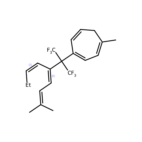 CC/C=C\C(=C/C=C(C)C)C(C1=CC=C(C)CC=C1)(C(F)(F)F)C(F)(F)F